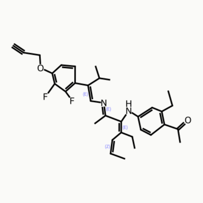 C#CCOc1ccc(/C(=C/N=C(C)/C(Nc2ccc(C(C)=O)c(CC)c2)=C(\C=C/C)CC)C(C)C)c(F)c1F